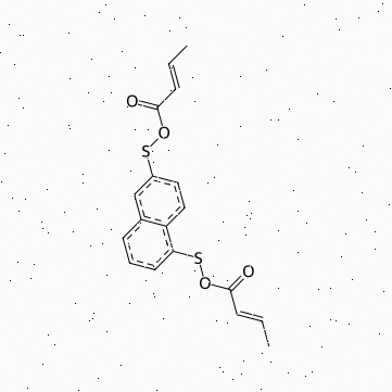 CC=CC(=O)OSc1ccc2c(SOC(=O)C=CC)cccc2c1